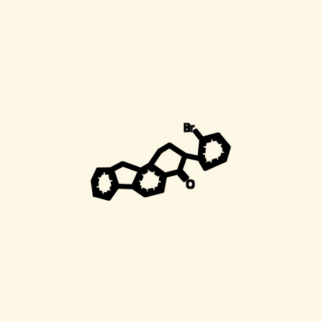 O=C1c2ccc3c(c2CCC1c1ccccc1Br)Cc1ccccc1-3